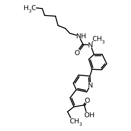 CCCCCCCNC(=O)N(C)c1cccc(-c2ccc(/C=C(/CC)C(=O)O)cn2)c1